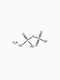 N.O=P(O)(O)OS(=O)(=O)O